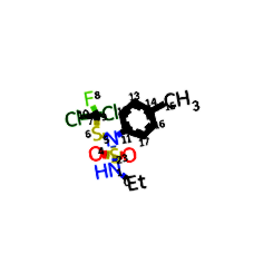 CCNS(=O)(=O)N(SC(F)(Cl)Cl)c1ccc(C)cc1